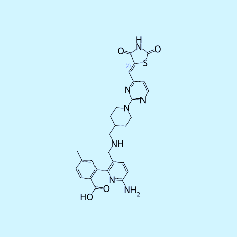 Cc1ccc(C(=O)O)c(-c2nc(N)ccc2CNCC2CCN(c3nccc(/C=C4\SC(=O)NC4=O)n3)CC2)c1